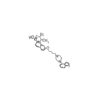 CCC(C(=O)O)C(C)n1c(=O)ccc2ccc(OCCCCN3CCN(c4cccc5sccc45)CC3)cc21